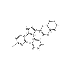 Fc1ccc(-c2[nH]cc(C3=CCN4CCCCC4C3)c2-c2ccncc2)cc1